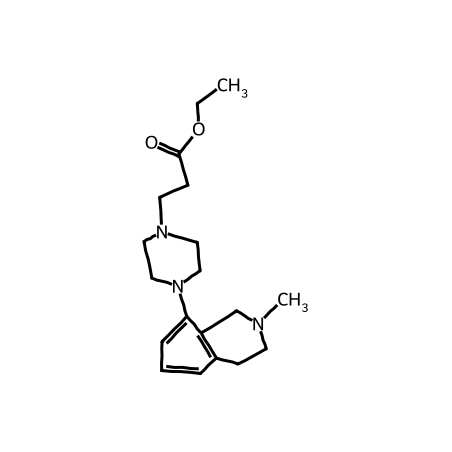 CCOC(=O)CCN1CCN(c2cccc3c2CN(C)CC3)CC1